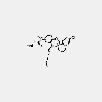 C=CCCCCN1C[C@@]2(CCCc3cc(Cl)ccc32)COc2ccc([C@H](C)C(=O)OC(C)(C)C)cc21